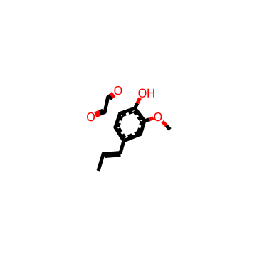 CC=Cc1ccc(O)c(OC)c1.O=CC=O